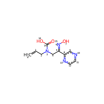 C=CCN(C/C(=N/O)c1cnccn1)C(=O)O